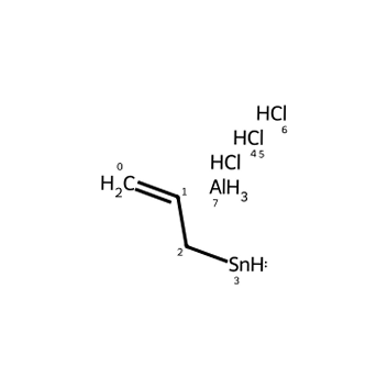 C=C[CH2][SnH].Cl.Cl.Cl.[AlH3]